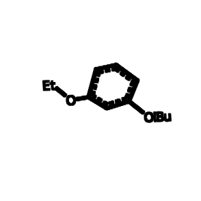 CCOc1cccc(OC[C](C)C)c1